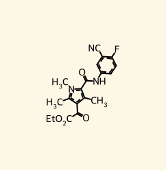 CCOC(=O)C(=O)c1c(C)c(C(=O)Nc2ccc(F)c(C#N)c2)n(C)c1C